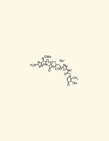 CO/N=C(\C(=O)N[C@@H]1C(=O)N2C(C(=O)[O-])=C(CSc3nnc(NC(=O)Cn4ccc(=O)c(O)c4C)s3)CS[C@@H]12)c1nsc(N)n1.[Na+]